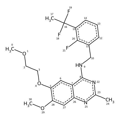 COCCOc1cc2c(NCc3cccc(C(C)(F)F)c3F)nc(C)nc2cc1OC